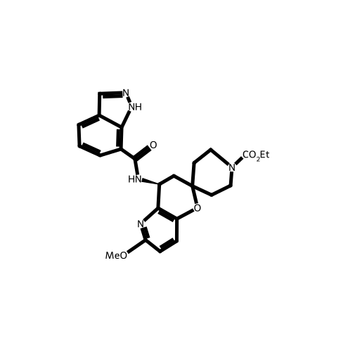 CCOC(=O)N1CCC2(CC1)C[C@H](NC(=O)c1cccc3cn[nH]c13)c1nc(OC)ccc1O2